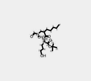 CCCCCC(CN(O)C=O)C(=O)NN(CCCO)C(=O)OC(C)(C)C